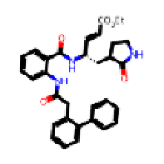 CCOC(=O)/C=C/[C@H](CC1CCNC1=O)NC(=O)c1ccccc1NC(=O)Cc1ccccc1-c1ccccc1